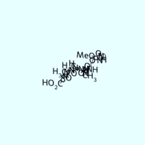 COc1cc2c(cc1OCCCC(=O)Nc1cn(C)c(C(=O)Nc3cc(C(=O)Nc4cc(C(=O)n5ccc6cc(C(=O)O)ccc65)n(C)c4)n(C)c3)n1)N=C[C@@H]1CCCCN1C2=O